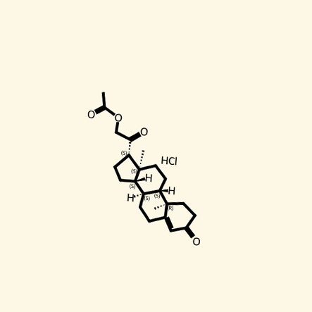 CC(=O)OCC(=O)[C@H]1CC[C@H]2[C@@H]3CCC4=CC(=O)CC[C@]4(C)[C@H]3CC[C@]12C.Cl